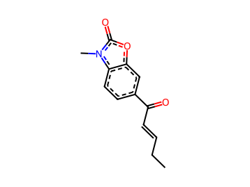 CCC=CC(=O)c1ccc2c(c1)oc(=O)n2C